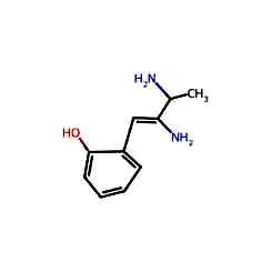 CC(N)C(N)=Cc1ccccc1O